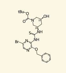 CC(C)(C)OC(=O)N1C[C@@H](O)C[C@@H](NC(=S)Nc2nc(Br)cnc2OCc2ccccc2)C1